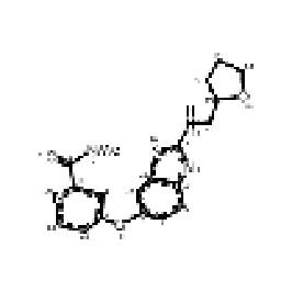 CNC(=O)c1cc(Oc2ccc3nc(NCC4CCCO4)sc3c2)ccn1